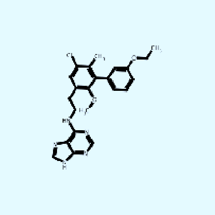 CCOc1cccc(-c2c(C)c(Cl)cc(CCNc3ncnc4[nH]cnc34)c2OC)c1